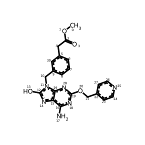 COC(=O)Cc1cccc(Cn2c(O)nc3c(N)nc(OCc4ccncc4)nc32)c1